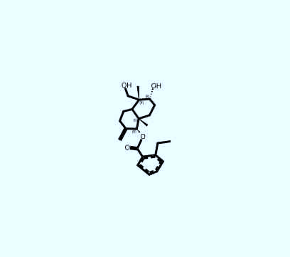 C=C1CCC2[C@](C)(CO)[C@H](O)CC[C@]2(C)[C@@H]1OC(=O)c1ccccc1CC